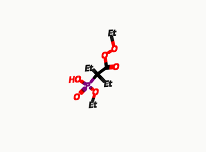 CCOOC(=O)C(CC)(CC)P(=O)(O)OCC